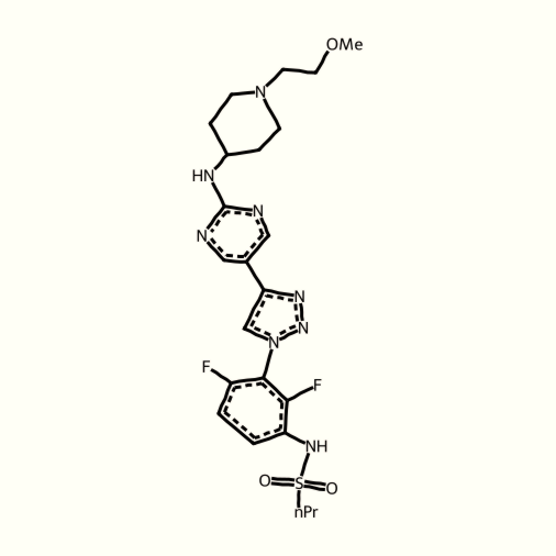 CCCS(=O)(=O)Nc1ccc(F)c(-n2cc(-c3cnc(NC4CCN(CCOC)CC4)nc3)nn2)c1F